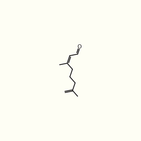 C=C(C)CCC/C(C)=C\C=O